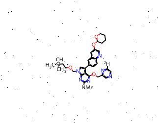 [2H]c1cncc(COc2nc(NC)nc3c2c(-c2ccc4ncc(OC5CCCCO5)cc4c2)cn3COCC[Si](C)(C)C)n1